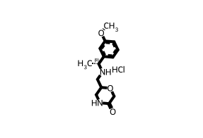 COc1cccc([C@@H](C)NCC2CNC(=O)CO2)c1.Cl